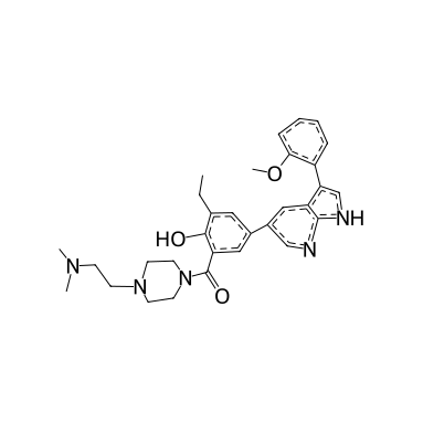 CCc1cc(-c2cnc3[nH]cc(-c4ccccc4OC)c3c2)cc(C(=O)N2CCN(CCN(C)C)CC2)c1O